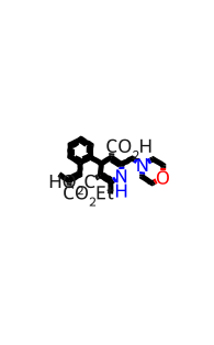 CCOC(=O)C(C)=Cc1ccccc1C1C(C(=O)O)=C(C)NC(CN2CCOCC2)=C1C(=O)O